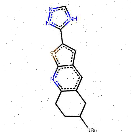 CC(C)(C)C1CCc2nc3sc(-c4nnc[nH]4)cc3cc2C1